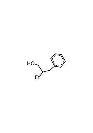 CC[C](CO)Cc1ccccc1